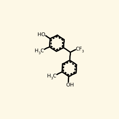 Cc1cc(C(c2ccc(O)c(C)c2)C(F)(F)F)ccc1O